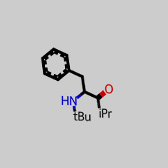 CC(C)C(=O)C(Cc1ccccc1)NC(C)(C)C